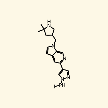 CC1(C)CC(Cn2ccc3cc(-c4cnn(PI)c4)ncc32)CN1